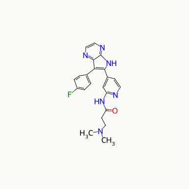 CN(C)CCC(=O)Nc1cc(-c2[nH]c3nccnc3c2-c2ccc(F)cc2)ccn1